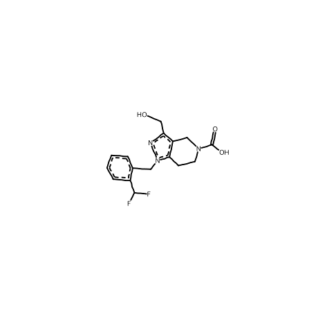 O=C(O)N1CCc2c(c(CO)nn2Cc2ccccc2C(F)F)C1